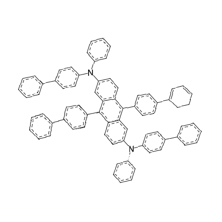 C1=CCCC(c2ccc(-c3c4ccc(N(c5ccccc5)c5ccc(-c6ccccc6)cc5)cc4c(-c4ccc(-c5ccccc5)cc4)c4ccc(N(c5ccccc5)c5ccc(-c6ccccc6)cc5)cc34)cc2)=C1